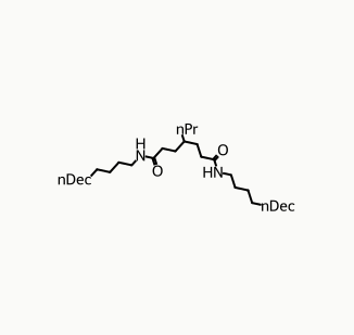 CCCCCCCCCCCCCCNC(=O)CCC(CCC)CCC(=O)NCCCCCCCCCCCCCC